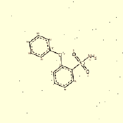 NS(=O)(=O)c1ccccc1Oc1ccccc1